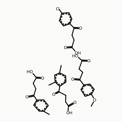 COc1ccc(C(=O)CCC(=O)O)cc1.Cc1ccc(C(=O)CCC(=O)O)c(C)c1.Cc1ccc(C(=O)CCC(=O)O)cc1.O=C(O)CCC(=O)c1ccc(Cl)cc1